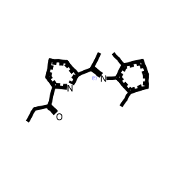 CCC(=O)c1cccc(/C(C)=N/c2c(C)cccc2C)n1